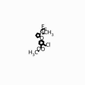 CCOC(=O)c1ccc(O[C@H]2CCC[C@@H]2N(CC)CC(F)F)cc1CCl